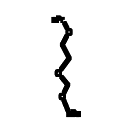 CCCCOCOCCOCCC